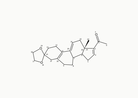 CC(=O)C1=CCC2C3CCC4=C(CCC5(C4)OCCO5)C3=CC[C@]12C